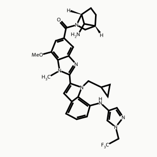 COc1cc(C(=O)N2C[C@H]3CC[C@@H]2C3N)cc2nc(-c3cc4cccc(Nc5cnn(CC(F)(F)F)c5)c4n3CC3CC3)n(C)c12